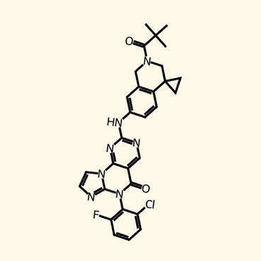 CC(C)(C)C(=O)N1Cc2cc(Nc3ncc4c(=O)n(-c5c(F)cccc5Cl)c5nccn5c4n3)ccc2C2(CC2)C1